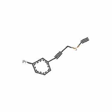 C#CSCC#Cc1cccc(C(C)C)c1